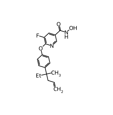 C=CCC(C)(CC)c1ccc(Oc2ncc(C(=O)NO)cc2F)cc1